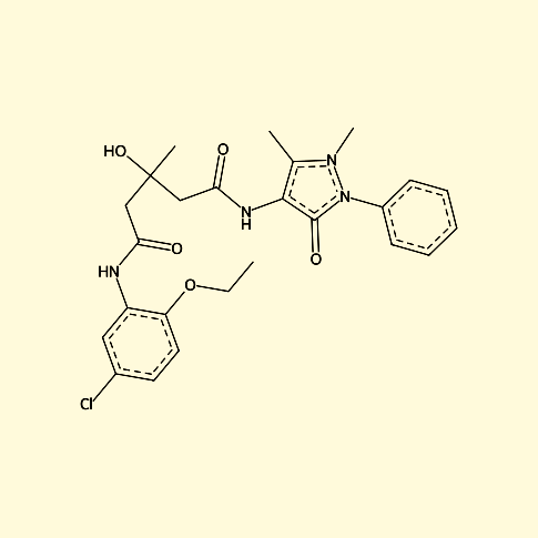 CCOc1ccc(Cl)cc1NC(=O)CC(C)(O)CC(=O)Nc1c(C)n(C)n(-c2ccccc2)c1=O